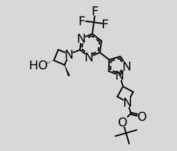 C[C@H]1[C@H](O)CN1c1nc(-c2cnn(C3CN(C(=O)OC(C)(C)C)C3)c2)cc(C(F)(F)F)n1